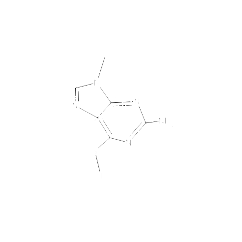 Cn1cnc2c(SI)nc(N)nc21